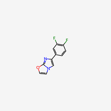 Fc1ccc(-c2cn3ccoc3n2)cc1F